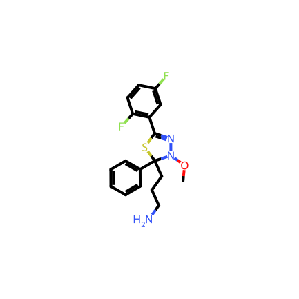 CON1N=C(c2cc(F)ccc2F)SC1(CCCN)c1ccccc1